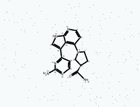 NC(=O)[C@@H]1CCN(c2ccnc3[nH]cc(-c4ccnc(N)n4)c23)C1